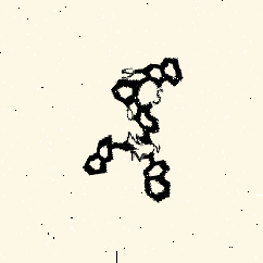 c1ccc2cc(-c3nc(-c4ccc5ccccc5c4)nc(-c4ccc5sc6c7ccccc7cc7sc8ccc9oc4c5c9c8c76)n3)ccc2c1